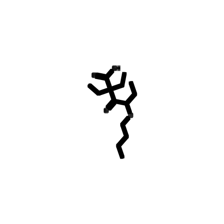 CCCCOC(CC)C(=O)C(CC)(CC)C(=O)O